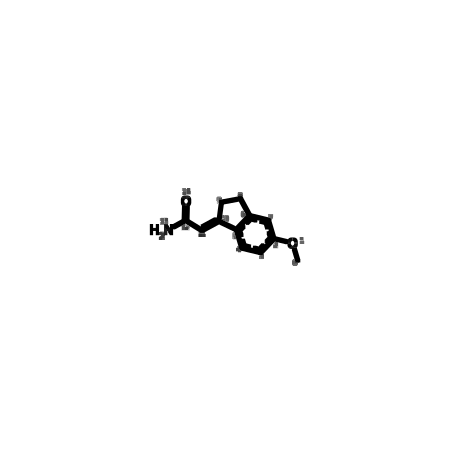 COc1ccc2c(c1)CCC2=CC(N)=O